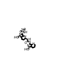 CS(=O)(=O)Nc1nn(O)c2ccc(CC(=O)Nc3nn(O)c4cccnc34)nc12